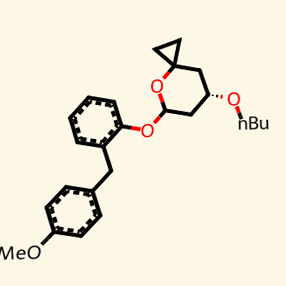 CCCCO[C@@H]1CC(Oc2ccccc2Cc2ccc(OC)cc2)OC2(CC2)C1